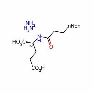 CCCCCCCCCCCC(=O)N[C@@H](CCC(=O)O)C(=O)O.N.N